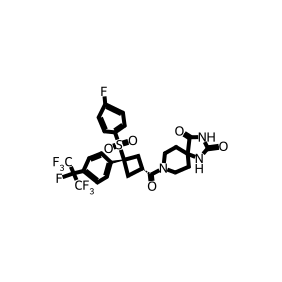 O=C1NC(=O)C2(CCN(C(=O)[C@H]3C[C@@](c4ccc(C(F)(C(F)(F)F)C(F)(F)F)cc4)(S(=O)(=O)c4ccc(F)cc4)C3)CC2)N1